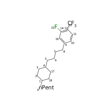 CCCCCC1CCC(CCCCc2ccc(C(F)(F)F)c(F)c2)CC1